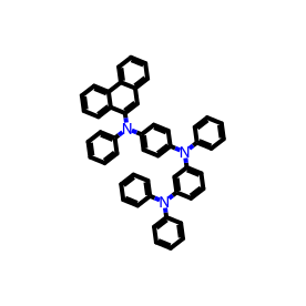 c1ccc(N(c2ccccc2)c2cccc(N(c3ccccc3)c3ccc(N(c4ccccc4)c4cc5ccccc5c5ccccc45)cc3)c2)cc1